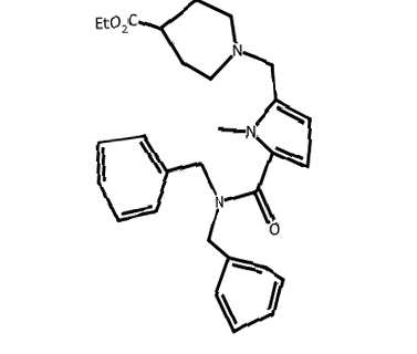 CCOC(=O)C1CCN(Cc2ccc(C(=O)N(Cc3ccccc3)Cc3ccccc3)n2C)CC1